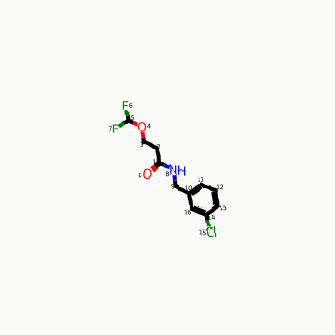 O=C([CH]COC(F)F)NCc1cccc(Cl)c1